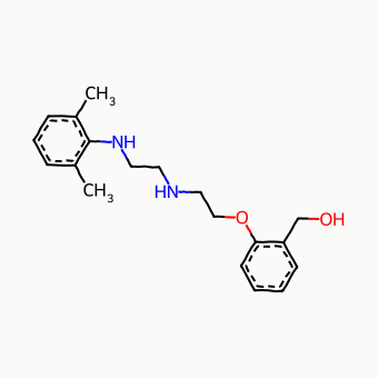 Cc1cccc(C)c1NCCNCCOc1ccccc1CO